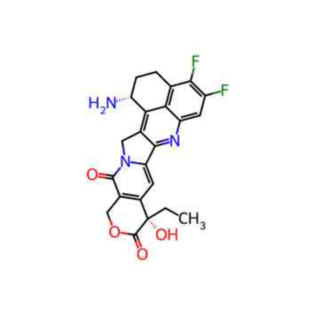 CC[C@@]1(O)C(=O)OCc2c1cc1n(c2=O)Cc2c-1nc1cc(F)c(F)c3c1c2[C@H](N)CC3